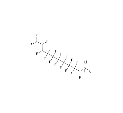 FC(F)C(F)C(F)C(F)(F)C(F)(F)C(F)(F)C(F)(F)C(F)(F)C(F)(F)C(F)[SiH](Cl)Cl